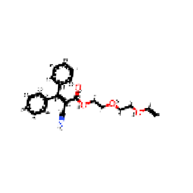 C=COCCOCCOC(=O)C(C#N)=C(c1ccccc1)c1ccccc1